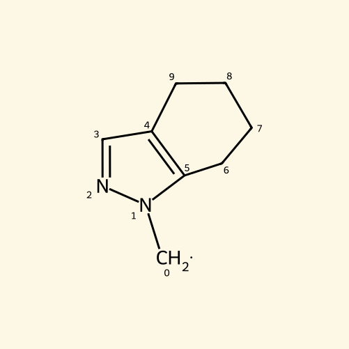 [CH2]n1ncc2c1CCCC2